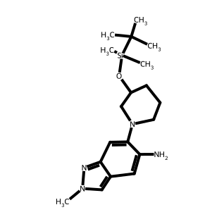 Cn1cc2cc(N)c(N3CCCC(O[Si](C)(C)C(C)(C)C)C3)cc2n1